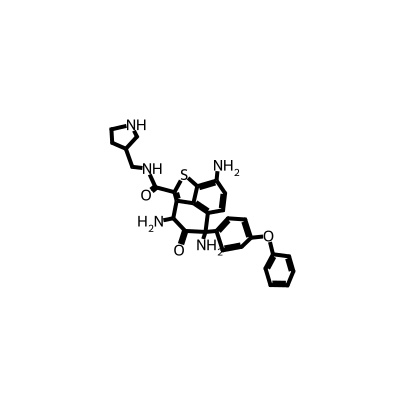 Nc1ccc2c3c(c(C(=O)NCC4CCNC4)sc13)C(N)C(=O)C2(N)c1ccc(Oc2ccccc2)cc1